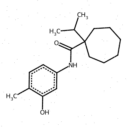 Cc1ccc(NC(=O)C2(C(C)C)CCCCCC2)cc1O